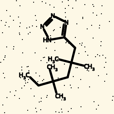 CCC(C)(C)CC(C)(C)Cc1nnn[nH]1